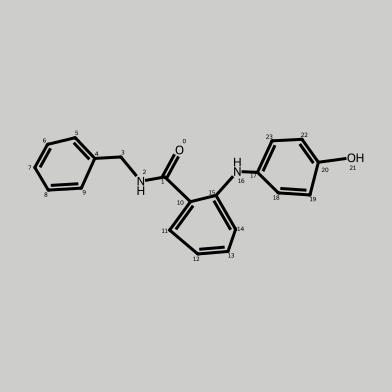 O=C(NCc1ccccc1)c1ccccc1Nc1ccc(O)cc1